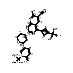 [2H]C([2H])([2H])n1cc([C@H]2C[C@@H](c3nc(C45CC(C(F)(F)F)(C4)C5)c4cc(C#N)c(C)nc4n3)CCO2)ccc1=O